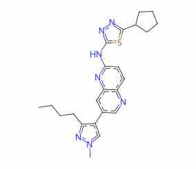 CCCCc1nn(C)cc1-c1cnc2ccc(Nc3nnc(C4CCCC4)s3)nc2c1